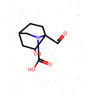 O=CC12CCC(CC1O)CN2C(=O)O